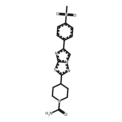 CS(=O)(=O)c1ccc(-c2cn3nc(C4CCN(C(N)=O)CC4)sc3n2)cc1